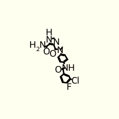 CN(C(=O)c1nc[nH]c1C(N)=O)c1ccc(NC(=O)c2ccc(F)c(Cl)c2)cc1